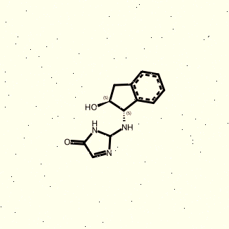 O=C1C=NC(N[C@H]2c3ccccc3C[C@@H]2O)N1